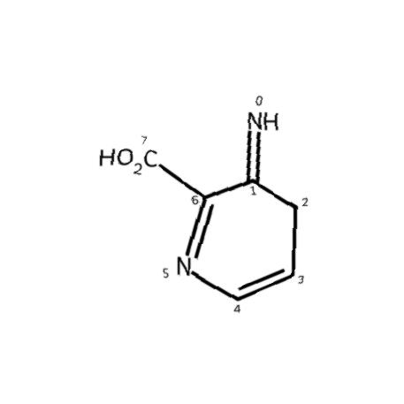 N=C1CC=CN=C1C(=O)O